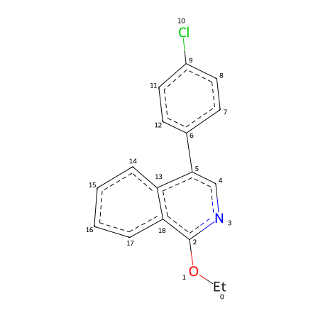 CCOc1ncc(-c2ccc(Cl)cc2)c2ccccc12